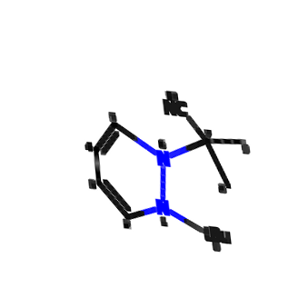 CC(C)(C)N1C=CC=CN1C(C)(C)C#N